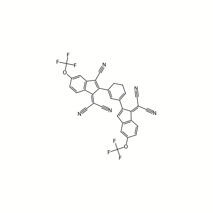 N#CC(C#N)=C1C(C2=CCCC(C3=C(C#N)c4cc(OC(F)(F)F)ccc4C3=C(C#N)C#N)=C2)=Cc2cc(OC(F)(F)F)ccc21